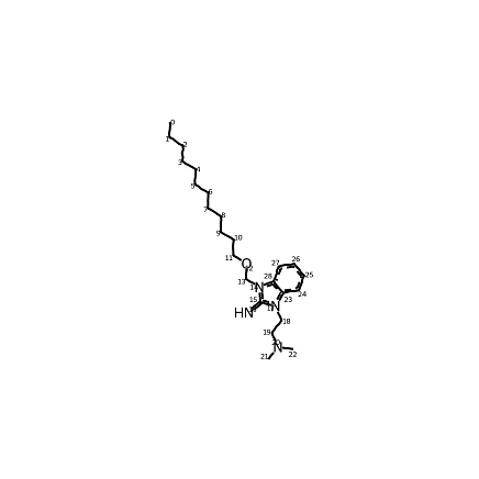 CCCCCCCCCCCCOCn1c(=N)n(CCN(C)C)c2ccccc21